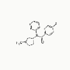 CN1CCC(N(C(=O)c2ccc(F)cc2)c2ccccc2)C1